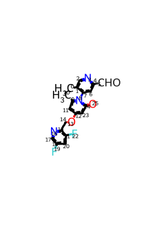 Cc1cnc(C=O)cc1-n1c(C)cc(OCc2ncc(F)cc2F)cc1=O